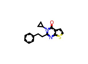 O=c1c2ccsc2nc(CCc2ccccc2)n1C1CC1